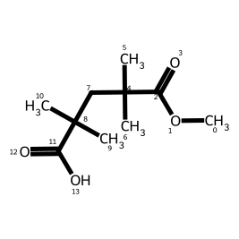 COC(=O)C(C)(C)CC(C)(C)C(=O)O